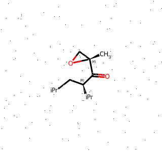 CC(C)C[C@@H](C(=O)[C@@]1(C)CO1)C(C)C